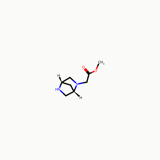 COC(=O)CN1C[C@@H]2C[C@H]1CN2